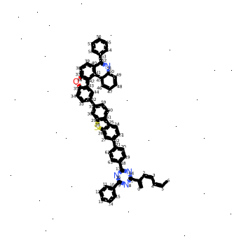 C=C(/C=C\C=C/C)c1nc(-c2ccccc2)nc(-c2ccc(-c3ccc4c(c3)sc3cc(-c5ccc6oc7ccc8c(c7c6c5)C5C=CC=CC5N=C8c5ccccc5)ccc34)cc2)n1